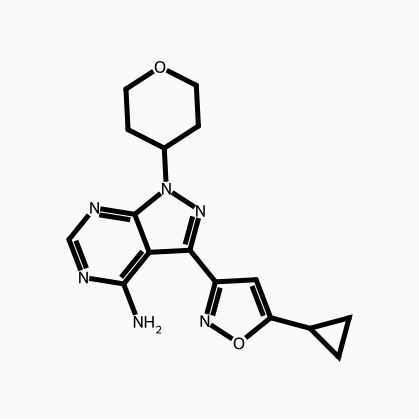 Nc1ncnc2c1c(-c1cc(C3CC3)on1)nn2C1CCOCC1